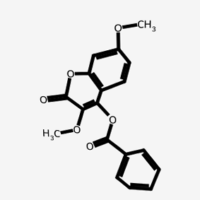 COc1ccc2c(OC(=O)c3ccccc3)c(OC)c(=O)oc2c1